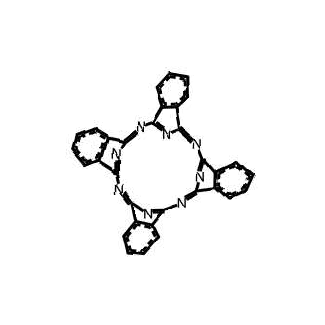 c1ccc2c(c1)C1=NC/2=N\C2=NC(=N\C3=NC(=N\C4=NC(=N\1)/c1ccccc14)/c1ccccc13)/c1ccccc12